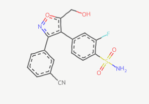 N#Cc1cccc(-c2noc(CO)c2-c2ccc(S(N)(=O)=O)c(F)c2)c1